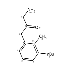 CCCCc1cccc(CC(=O)CN)c1C